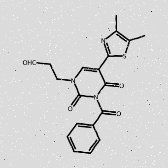 Cc1nc(-c2cn(CCC=O)c(=O)n(C(=O)c3ccccc3)c2=O)sc1C